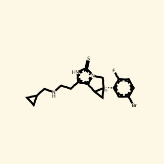 Fc1ccc(Br)cc1[C@]12CC1c1c(CCNCC3CC3)[nH]c(=S)n1C2